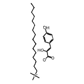 CCCCCCCCCCCCCCCC[N+](C)(C)C.O=C([O-])C(O)=Cc1ccc(O)cc1